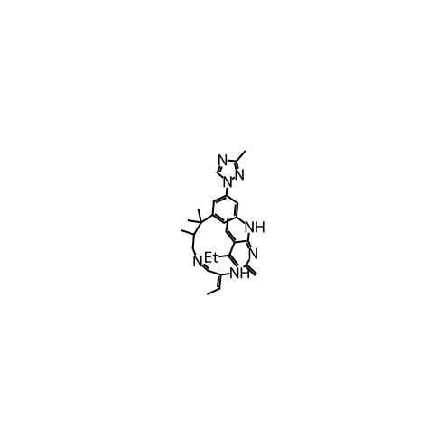 C=C1/N=C(\C(=C/C)C(=C)CC)Nc2cc(-n3cnc(C)n3)cc(c2)C(C)(C)C(C)C/N=C\C(=C/C)N1